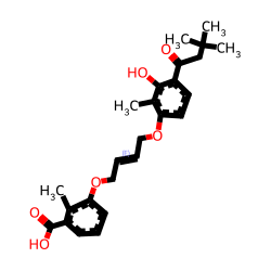 Cc1c(OC/C=C/COc2ccc(C(=O)CC(C)(C)C)c(O)c2C)cccc1C(=O)O